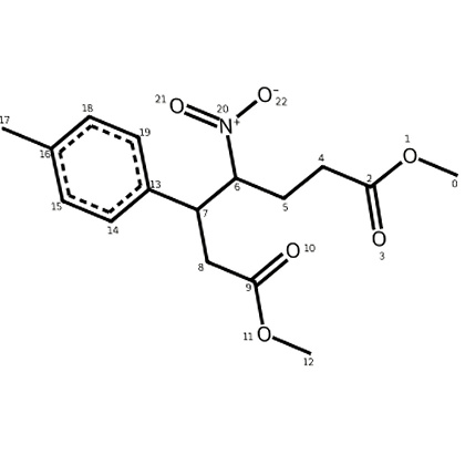 COC(=O)CCC(C(CC(=O)OC)c1ccc(C)cc1)[N+](=O)[O-]